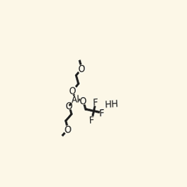 COCC[O][Al]([O]CCOC)[O]CC(F)(F)F.[HH]